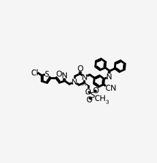 CS(=O)(=O)OC[C@H]1CN(Cc2cc(-c3ccc(Cl)s3)on2)CC(=O)N1Cc1ccc(C#N)c(N=C(c2ccccc2)c2ccccc2)c1